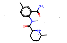 Cc1ccc(N(C)C(=O)C2CCCC(C)N2)c(C(N)=O)c1